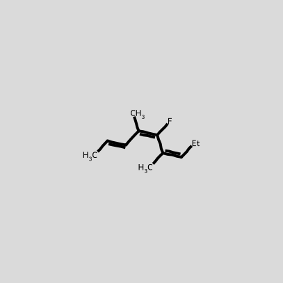 C/C=C/C(C)=C(F)\C(C)=C/CC